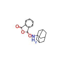 NC12CC3CC(CC(C3)C1)C2.O=C1OC(=O)c2ccccc21